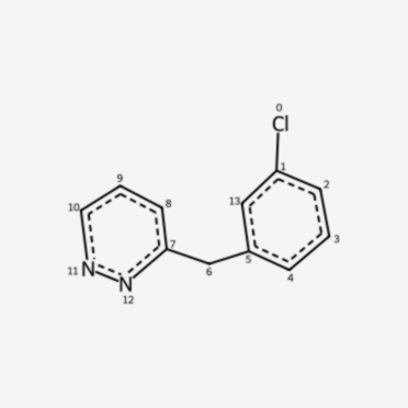 Clc1cccc(Cc2cccnn2)c1